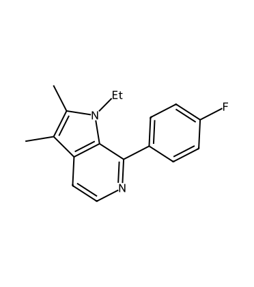 CCn1c(C)c(C)c2ccnc(-c3ccc(F)cc3)c21